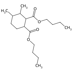 CCCCOC(=O)C1CCC(C)C(C)C1C(=O)OCCCC